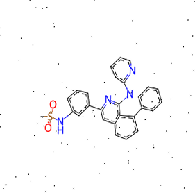 CN(c1ccccn1)c1nc(-c2cccc(NS(C)(=O)=O)c2)cc2cccc(-c3ccccc3)c12